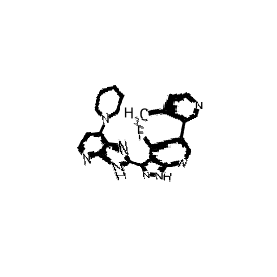 Cc1ccncc1-c1cnc2[nH]nc(-c3nc4c(N5CCCCC5)ccnc4[nH]3)c2c1F